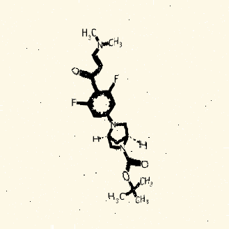 CN(C)C=CC(=O)c1c(F)cc(N2C[C@@H]3C[C@H]2CN3C(=O)OC(C)(C)C)cc1F